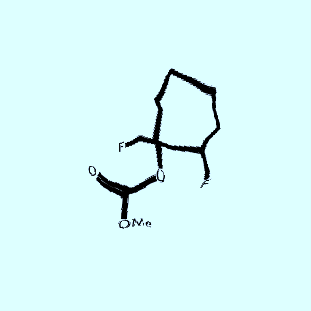 COC(=O)OC1(F)CCCC[C]1F